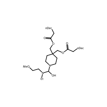 CCCCCCCCCCCC(=O)OCC1(COC(=O)CCCCCCCCCCC)CCN(C(O)N(CC)CCOC)CC1